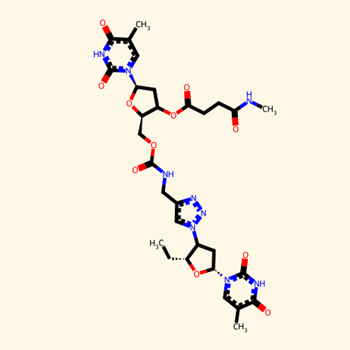 CC[C@H]1O[C@@H](n2cc(C)c(=O)[nH]c2=O)CC1n1cc(CNC(=O)OC[C@H]2O[C@@H](n3cc(C)c(=O)[nH]c3=O)CC2OC(=O)CCC(=O)NC)nn1